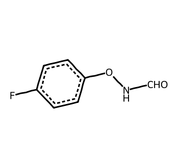 O=CNOc1ccc(F)cc1